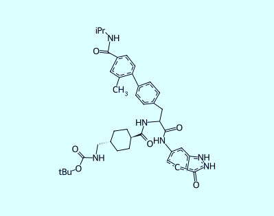 Cc1cc(C(=O)NC(C)C)ccc1-c1ccc(CC(NC(=O)[C@H]2CC[C@H](CNC(=O)OC(C)(C)C)CC2)C(=O)Nc2ccc3c(=O)[nH][nH]c3c2)cc1